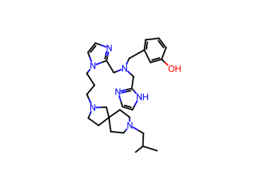 CC(C)CN1CCC2(CC1)CCN(CCCn1ccnc1CN(Cc1cccc(O)c1)Cc1ncc[nH]1)C2